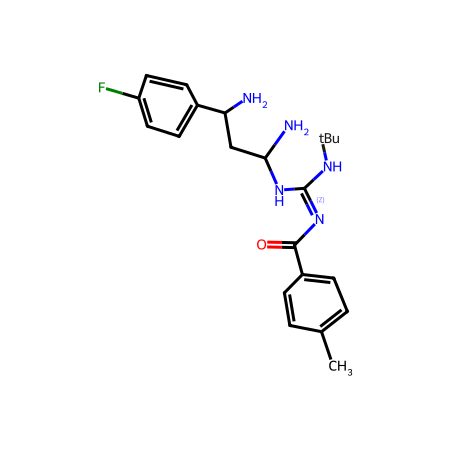 Cc1ccc(C(=O)/N=C(\NC(N)CC(N)c2ccc(F)cc2)NC(C)(C)C)cc1